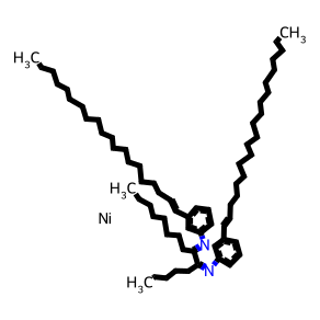 CCCCCCCCCCCCCCCCCCC=Cc1cccc(N=C(CCCCC)C(CCCCCCCC)=Nc2cccc(C=CCCCCCCCCCCCCCCCCCC)c2)c1.[Ni]